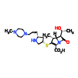 C[C@@H](O)[C@H]1C(=O)N2C(C(=O)O)=C(S[C@@H]3CN[C@H](/C=C\CN4CCN(C)CC4)C3)[C@H](C)[C@H]12